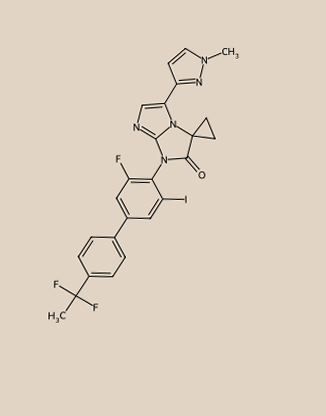 Cn1ccc(-c2cnc3n2C2(CC2)C(=O)N3c2c(F)cc(-c3ccc(C(C)(F)F)cc3)cc2I)n1